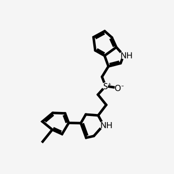 Cc1cccc(C2=CCNC(CC[S+]([O-])Cc3c[nH]c4ccccc34)C2)c1